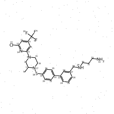 CC1CN(c2cc(C(F)(F)F)cc(Cl)n2)CCN1Sc1ccc(-c2cccc(CNCCCN)c2)cc1